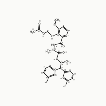 COc1ccnc(C(=O)N[C@@H](C)C(=O)O[C@@H](C)C(c2cccc(F)c2)c2cccc(F)c2)c1OCOC(C)=O